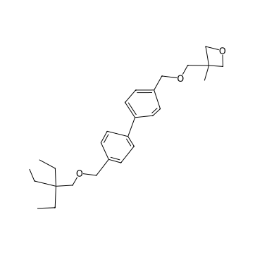 CCC(CC)(CC)COCc1ccc(-c2ccc(COCC3(C)COC3)cc2)cc1